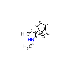 CCNCC(CC)C12CC3CC(CC(C3)C1)C2